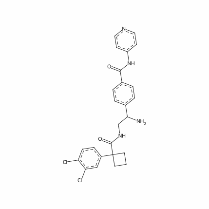 NC(CNC(=O)C1(c2ccc(Cl)c(Cl)c2)CCC1)c1ccc(C(=O)Nc2ccncc2)cc1